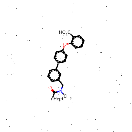 CCCCCCCC(=O)N(C)Cc1cccc(-c2ccc(Oc3ccccc3C(=O)O)cc2)c1